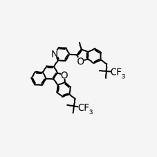 Cc1c(-c2ccnc(-c3cc4ccccc4c4c3oc3cc(CC(C)(C)C(F)(F)F)ccc34)c2)oc2cc(CC(C)(C)C(F)(F)F)ccc12